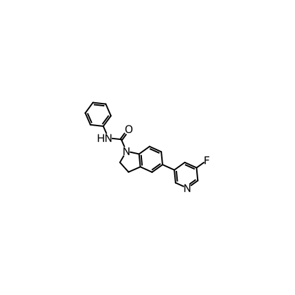 O=C(Nc1ccccc1)N1CCc2cc(-c3cncc(F)c3)ccc21